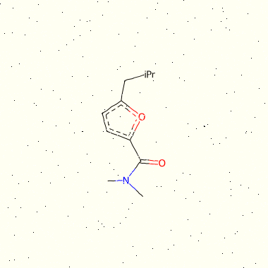 CC(C)Cc1ccc(C(=O)N(C)C)o1